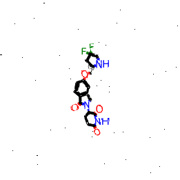 O=C1CCC(N2Cc3cc(OC[C@@H]4CC(F)(F)CN4)ccc3C2=O)C(=O)N1